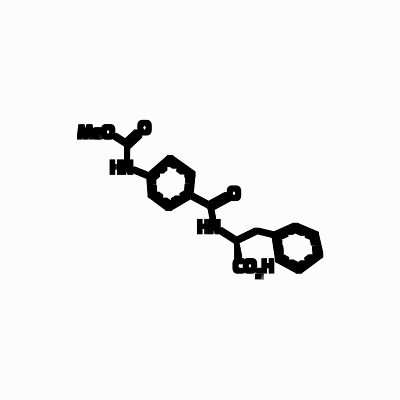 COC(=O)Nc1ccc(C(=O)N[C@@H](Cc2ccccc2)C(=O)O)cc1